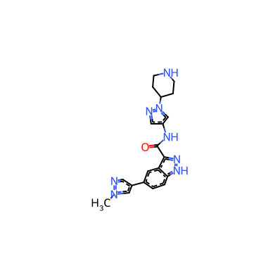 Cn1cc(-c2ccc3[nH]nc(C(=O)Nc4cnn(C5CCNCC5)c4)c3c2)cn1